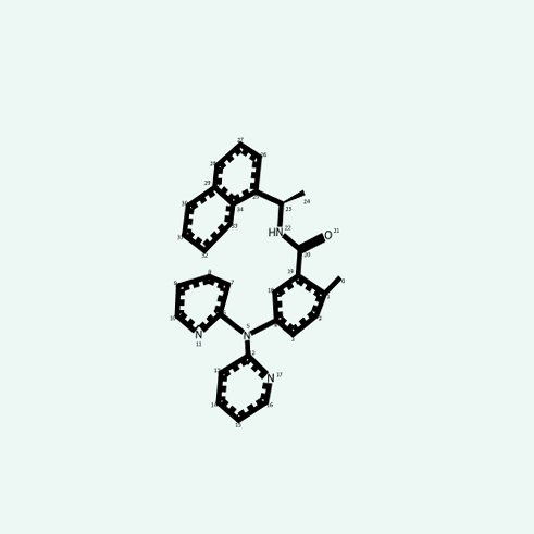 Cc1ccc(N(c2ccccn2)c2ccccn2)cc1C(=O)N[C@H](C)c1cccc2ccccc12